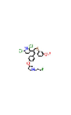 Oc1ccc2c(c1)SCC(c1ccc(Cl)nc1Cl)=C2c1ccc(O[C@H]2CCN(CCCF)C2)cc1